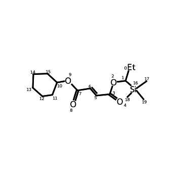 CCC(OC(=O)/C=C/C(=O)OC1CCCCC1)[Si](C)(C)C